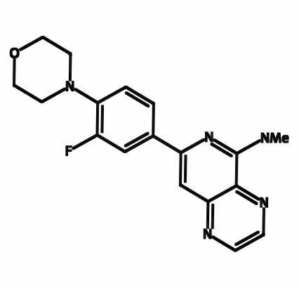 CNc1nc(-c2ccc(N3CCOCC3)c(F)c2)cc2nccnc12